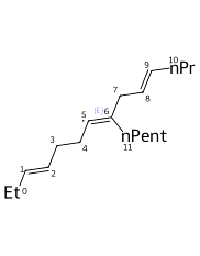 CCC=CCC/[C]=C(/CC=CCCC)CCCCC